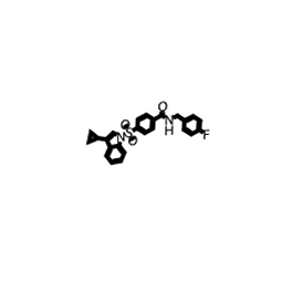 O=C(NCc1ccc(F)cc1)c1ccc(S(=O)(=O)n2cc(C3CC3)c3ccccc32)cc1